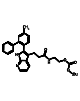 Cc1ccc(-c2[nH]c3ncccc3c2CCC(=O)NCCOC(=O)OC(C)(C)C)c(-c2ccccc2)c1